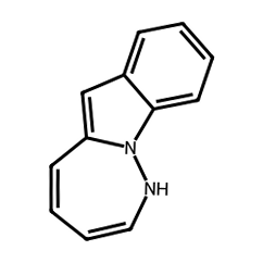 C1=CNn2c(cc3ccccc32)C=C1